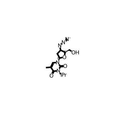 Cc1cn([C@H]2CC(N=[N+]=[N-])[C@@H](CO)O2)c(=O)n(C(C)C)c1=O